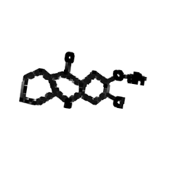 CCCOc1cc2c(=O)c3ccccc3sc2cc1Cl